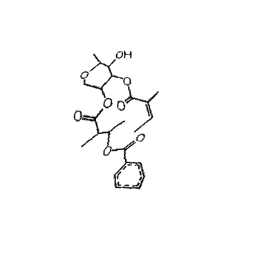 C/C=C(/C)C(=O)OC1C(OC(=O)C(C)C(C)OC(=O)c2ccccc2)COC(C)C1O